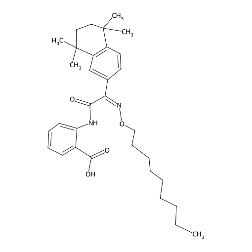 CCCCCCCCCON=C(C(=O)Nc1ccccc1C(=O)O)c1ccc2c(c1)C(C)(C)CCC2(C)C